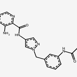 CC(=O)Nc1cccc(Cn2cc(NC(=O)c3nccnc3N)cn2)c1